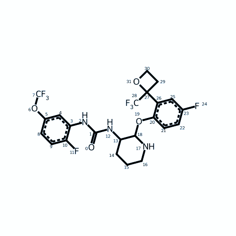 O=C(Nc1cc(OC(F)(F)F)ccc1F)NC1CCCNC1Oc1ccc(F)cc1C1(C(F)(F)F)CCO1